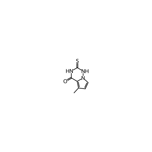 Cc1ccn2[nH]c(=S)[nH]c(=O)c12